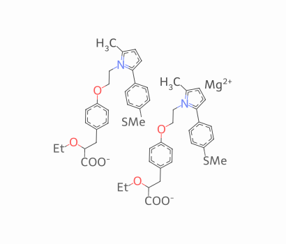 CCOC(Cc1ccc(OCCn2c(C)ccc2-c2ccc(SC)cc2)cc1)C(=O)[O-].CCOC(Cc1ccc(OCCn2c(C)ccc2-c2ccc(SC)cc2)cc1)C(=O)[O-].[Mg+2]